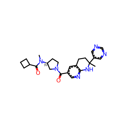 CN(C(=O)C1CCC1)[C@H]1CCN(C(=O)c2cnc3c(c2)CCC(C)(c2cncnc2)N3)C1